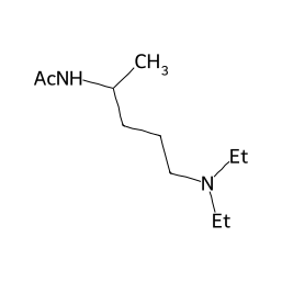 CCN(CC)CCCC(C)NC(C)=O